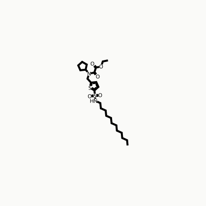 CCCCCCCCCCCCNS(=O)(=O)c1ccc(CN(C(=O)C(=O)OCC)C2CCCC2)s1